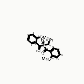 COc1ccccc1C(=O)P(=O)(CC(C)C)C(=O)c1ccccc1OC